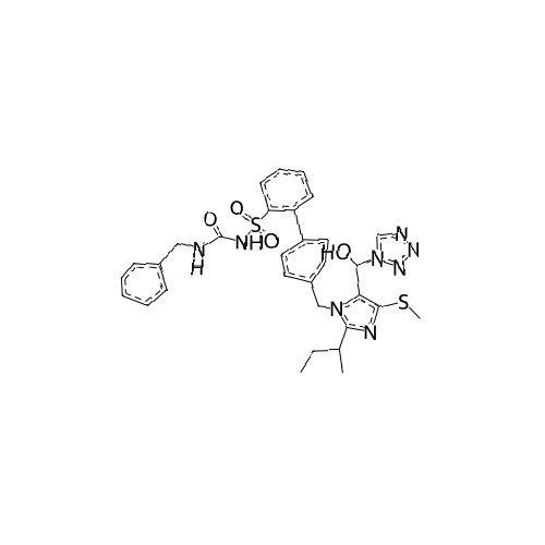 CCC(C)c1nc(SC)c(C(O)n2cnnn2)n1Cc1ccc(-c2ccccc2S(=O)(=O)NC(=O)NCc2ccccc2)cc1